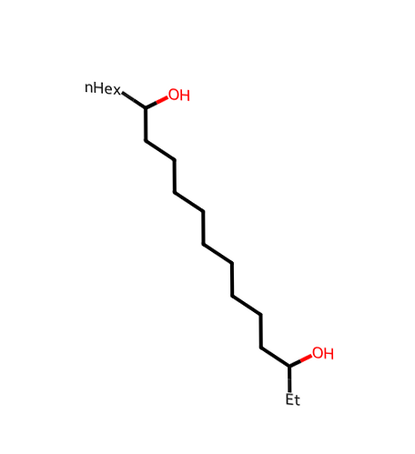 CCCCCCC(O)CCCCCCCCCC(O)CC